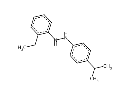 CCc1ccccc1NNc1ccc(C(C)C)cc1